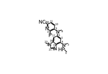 CPN(C)c1cc(N(C)c2ccc(C#N)nc2F)cc2c1ncn2C